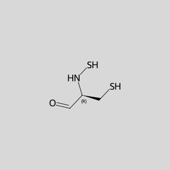 O=C[C@H](CS)NS